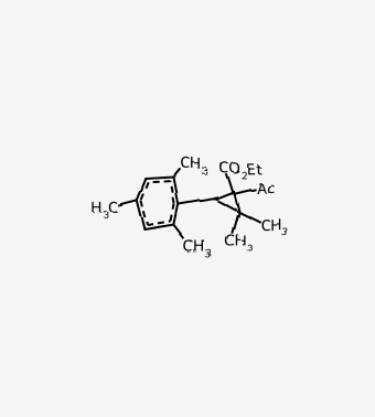 CCOC(=O)C1(C(C)=O)C(c2c(C)cc(C)cc2C)C1(C)C